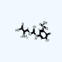 Cc1c(Cl)cc(NC(=O)OCC(N)C(=O)O)cc1S(=O)(=O)O